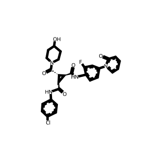 O=C(Nc1ccc(Cl)cc1)[C@@H]1[C@H](C(=O)Nc2ccc(-n3ccccc3=O)cc2F)[C@H]1C(=O)N1CCC(O)CC1